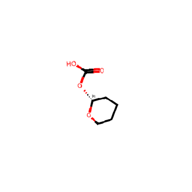 O=C(O)O[C@@H]1CCCCO1